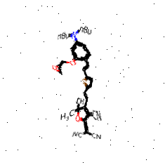 CCCCN(CCCC)c1ccc(/C=C/c2ccc(/C=C/C3=C(C#N)C(=C(C#N)C#N)OC3(C)C)s2)c(OCC2CO2)c1